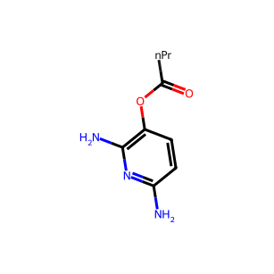 CCCC(=O)Oc1ccc(N)nc1N